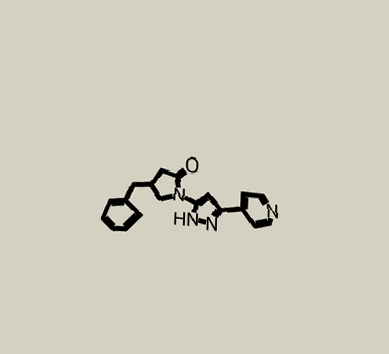 O=C1CC(Cc2ccccc2)CN1c1cc(-c2ccncc2)n[nH]1